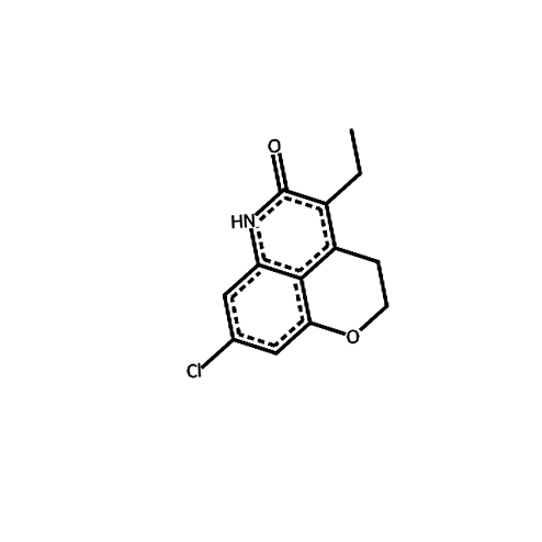 CCc1c2c3c(cc(Cl)cc3[nH]c1=O)OCC2